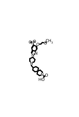 COCCOc1cc2nn(C3CCN(CC4CCC5(CC4)CCN(C(=O)O)CC5)CC3)cc2cc1[N+](=O)[O-]